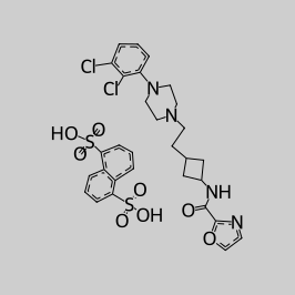 O=C(NC1CC(CCN2CCN(c3cccc(Cl)c3Cl)CC2)C1)c1ncco1.O=S(=O)(O)c1cccc2c(S(=O)(=O)O)cccc12